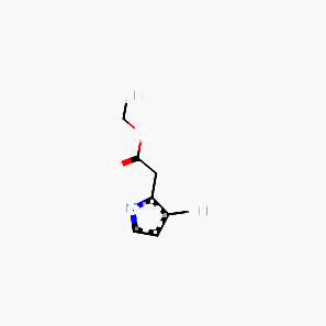 CCOC(=O)Cc1[nH]ccc1C